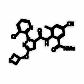 CNC(=O)c1cc(C#N)cc(C)c1NC(=O)c1cc(OC2CSC2)nn1-c1ncccc1Cl